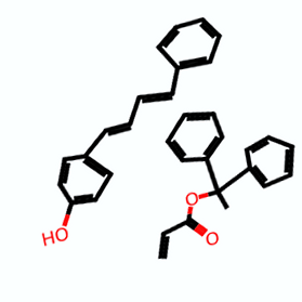 C=CC(=O)OC(C)(c1ccccc1)c1ccccc1.Oc1ccc(C=CC=Cc2ccccc2)cc1